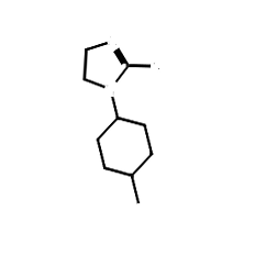 CC1CCC(N2CCN=C2N)CC1